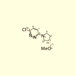 COC[C@H]1CCN(c2ccc(Cl)nn2)C1